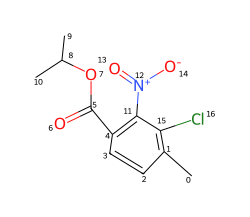 Cc1ccc(C(=O)OC(C)C)c([N+](=O)[O-])c1Cl